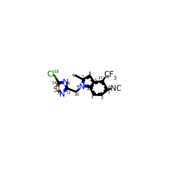 [C-]#[N+]c1ccc2c(cc(C)n2Cc2nsc(Cl)n2)c1C(F)(F)F